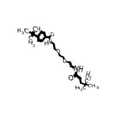 CC(C)(C)CCC(=O)NCCOCCOCCNC(=O)c1ccc(C(C)(C)C)cc1